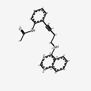 CC(=O)Nc1ccccc1C#CCCNc1ncnc2ccccc12